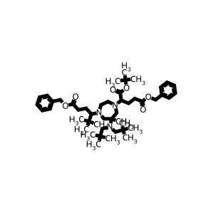 CC(C)(C)CN(CC(C)(C)C)C1(C)CN(C(CCC(=O)OCc2ccccc2)C(=O)OC(C)(C)C)CCN(C(CCC(=O)OCc2ccccc2)C(C)(C)C)C1